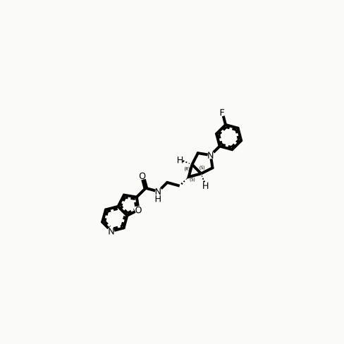 O=C(NCC[C@@H]1[C@H]2CN(c3cccc(F)c3)C[C@@H]12)c1cc2ccncc2o1